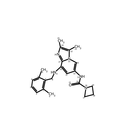 Cc1cccc(C)c1CNc1cc(NC(=O)N2CCC2)cn2c(C)c(C)nc12